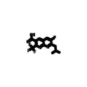 CC(C)Cc1nc2nc(C(F)(F)F)c(C(=O)O)cc2cc1F